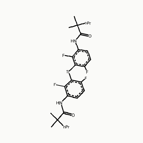 CCCC(C)(C)C(=O)Nc1ccc(F)[c]([Ti][c]2c(F)ccc(NC(=O)C(C)(C)CCC)c2F)c1F